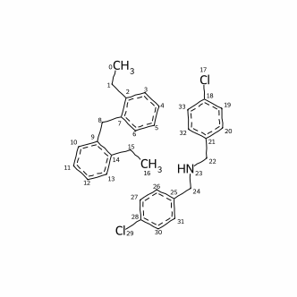 CCc1ccccc1Cc1ccccc1CC.Clc1ccc(CNCc2ccc(Cl)cc2)cc1